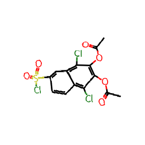 CC(=O)Oc1c(OC(C)=O)c(Cl)c2cc(S(=O)(=O)Cl)ccc2c1Cl